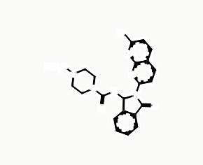 CCOC(=O)N1CCN(C(=O)OC2c3ccccc3C(=O)N2c2ccc3ccc(Cl)nc3n2)CC1